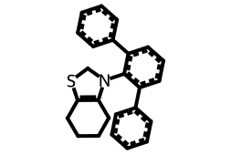 c1ccc(-c2cccc(-c3ccccc3)c2N2CSC3=C2CCCC3)cc1